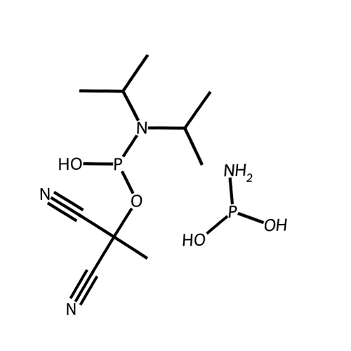 CC(C)N(C(C)C)P(O)OC(C)(C#N)C#N.NP(O)O